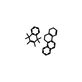 C1=CC2=C(CC1)CCc1c2ccc2ccccc12.CC1=C(C)C(C)(C)c2ccccc2C1(C)C